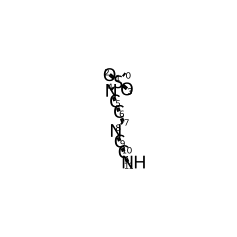 CS(=O)(=O)N=C=C=CN=C=C=N